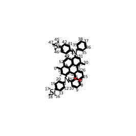 Cc1cc(N(c2ccccc2)c2ccc([Si](C)(C)C)cc2)c2c3ccccc3c3c(C)cc(N(c4ccccc4)c4ccc([Si](C)(C)C)cc4)c4ccc1c2c43